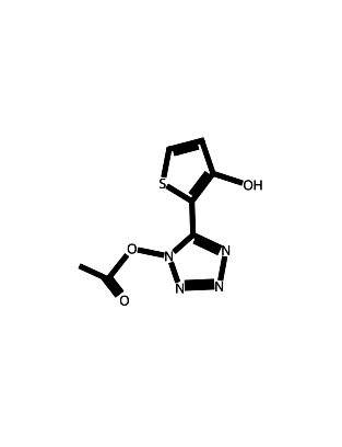 CC(=O)On1nnnc1-c1sccc1O